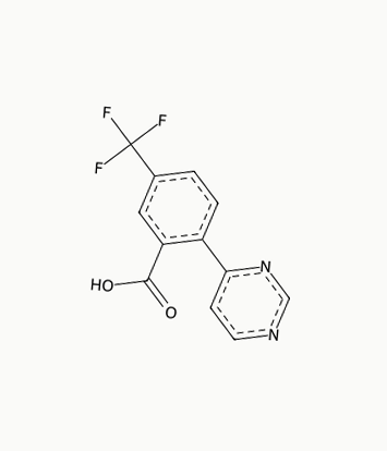 O=C(O)c1cc(C(F)(F)F)ccc1-c1ccncn1